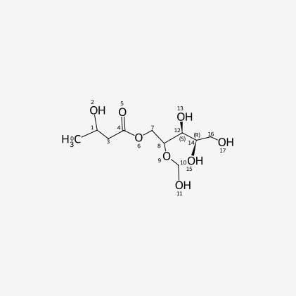 CC(O)CC(=O)OCC(OCO)[C@@H](O)[C@H](O)CO